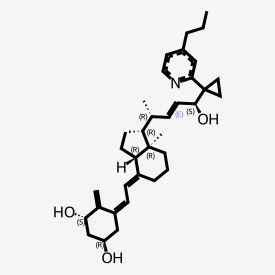 C=C1C(=CC=C2CCC[C@]3(C)[C@@H]([C@H](C)/C=C/[C@H](O)C4(c5cc(CCC)ccn5)CC4)CC[C@@H]23)C[C@@H](O)C[C@@H]1O